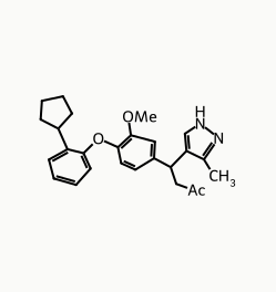 COc1cc(C(CC(C)=O)c2c[nH]nc2C)ccc1Oc1ccccc1C1CCCC1